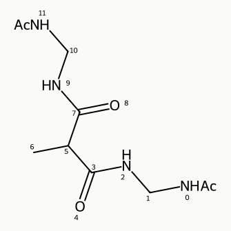 CC(=O)NCNC(=O)C(C)C(=O)NCNC(C)=O